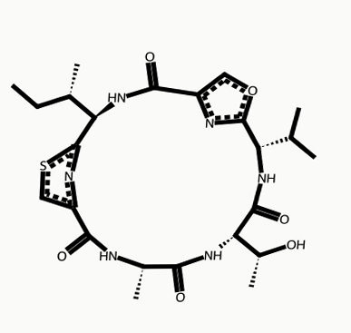 CC[C@H](C)[C@H]1NC(=O)c2coc(n2)[C@H](C(C)C)NC(=O)[C@H]([C@@H](C)O)NC(=O)[C@H](C)NC(=O)c2csc1n2